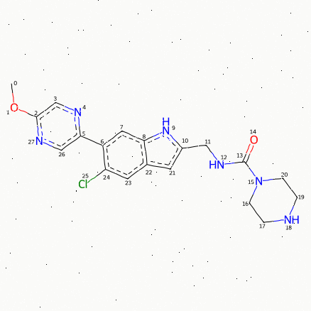 COc1cnc(-c2cc3[nH]c(CNC(=O)N4CCNCC4)cc3cc2Cl)cn1